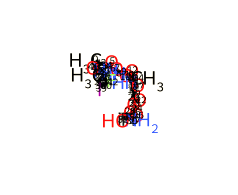 Cc1cc(C(=O)NOCCOC(=O)[C@H](C)NC(=O)CCCC(=O)OCC(OC(C)C)OC(N)CO)c(Nc2ccc(I)cc2F)n(C)c1=O